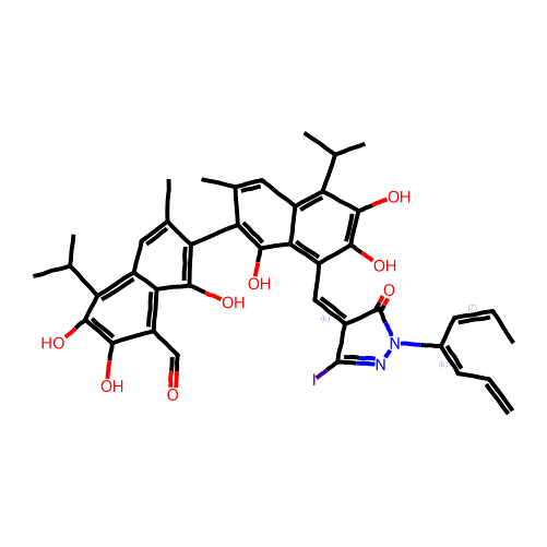 C=C/C=C(\C=C/C)N1N=C(I)/C(=C/c2c(O)c(O)c(C(C)C)c3cc(C)c(-c4c(C)cc5c(C(C)C)c(O)c(O)c(C=O)c5c4O)c(O)c23)C1=O